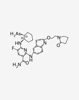 NC(=O)c1cc(F)c(N[C@@H]2CCCC[C@@H]2[AsH2])nc1Nc1ccc2nc(OCCN3CCCC3=O)ccc2c1